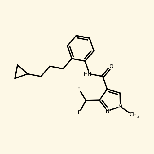 Cn1cc(C(=O)Nc2ccccc2CCCC2CC2)c(C(F)F)n1